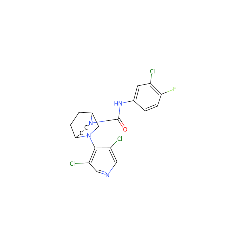 O=C(Nc1ccc(F)c(Cl)c1)N1CCC2CCC1CN2c1c(Cl)cncc1Cl